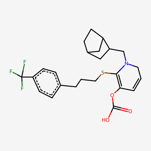 O=C(O)OC1=C(SCCCc2ccc(C(F)(F)F)cc2)N(CC2CC3CCC2C3)CC=C1